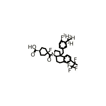 [2H]C([2H])([2H])c1cc(CC23CCN(C(=O)[C@]4(F)CC[C@@H](C(=O)O)CC4)C2CCc2cc(C(C)(F)C(F)(F)F)ccc23)ccc1F